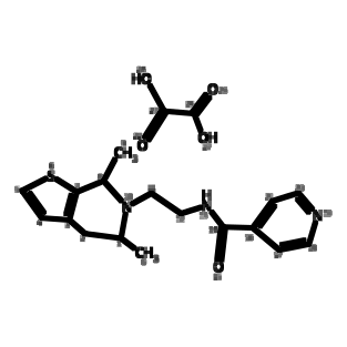 CC1Cc2ccsc2C(C)N1CCNC(=O)c1ccncc1.O=C(O)C(=O)O